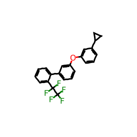 FC(F)(F)C(F)(F)c1ccccc1-c1cccc(Oc2cccc(C3CC3)c2)c1